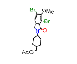 COc1c(Br)cc2c(c1Br)C(=O)N(C1CCC(COC(C)=O)CC1)C2